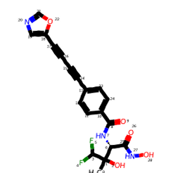 CC(O)(C(F)F)[C@H](NC(=O)c1ccc(C#CC#Cc2cnco2)cc1)C(=O)NO